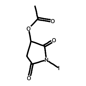 CC(=O)OC1CC(=O)N(I)C1=O